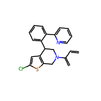 C=CC(=C)N1Cc2sc(Cl)cc2C(c2ccccc2-c2ccccn2)C1